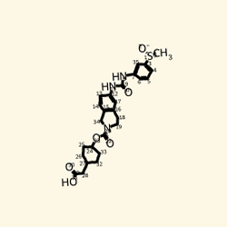 C[S+]([O-])c1cccc(NC(=O)Nc2ccc3c(c2)CCN(C(=O)OC2CCC(CC(=O)O)CC2)C3)c1